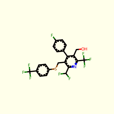 OCc1c(C(F)(F)F)nc(C(F)F)c(CSc2ccc(C(F)(F)F)cc2)c1-c1ccc(F)cc1